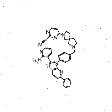 N#Cc1nccc(N2CCC3(CCN(Cc4ccc(-n5c(-c6cccnc6N)nc6ccc(-c7ccccc7)nc65)cc4)C3)C2)n1